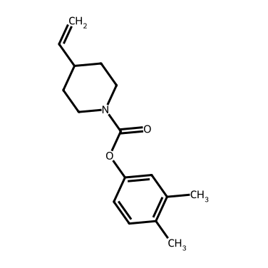 C=CC1CCN(C(=O)Oc2ccc(C)c(C)c2)CC1